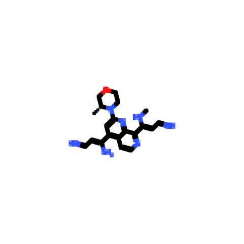 CN/C(=C\C=N)c1nccc2c(/C(N)=C/C=N)cc(N3CCOC[C@H]3C)nc12